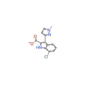 COC(=O)c1[nH]c2c(Cl)cccc2c1-c1ccn(C)n1